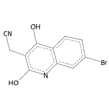 N#CCc1c(O)nc2cc(Br)ccc2c1O